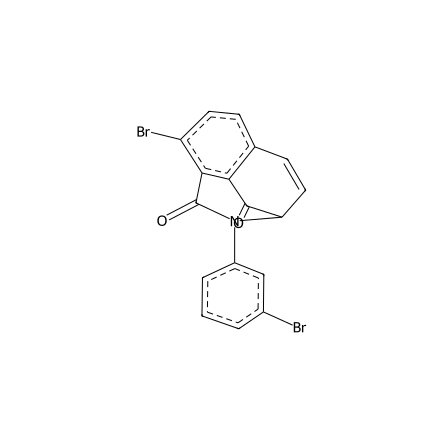 O=C1c2c3ccc(Br)c2C(=O)N(c2cccc(Br)c2)C1C=C3